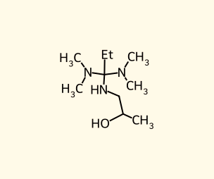 CCC(NCC(C)O)(N(C)C)N(C)C